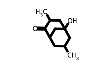 CC1CC2CC(O)(C1)CC(C)C2=O